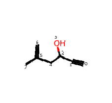 C#CC(O)CC(=C)C